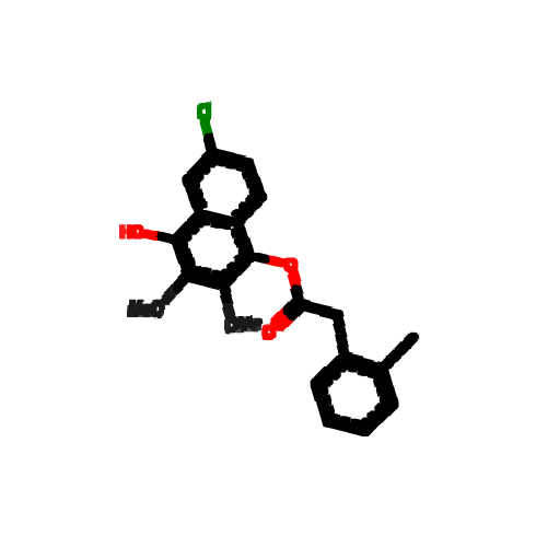 COc1c(OC)c(OC(=O)Cc2ccccc2C)c2ccc(Cl)cc2c1O